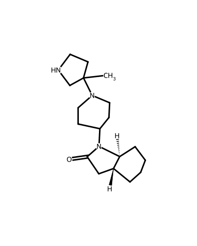 CC1(N2CCC(N3C(=O)C[C@H]4CCCC[C@@H]43)CC2)CCNC1